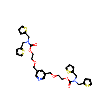 O=C(OCCOCc1cncc(COCCOC(=O)N(Cc2cccs2)Cc2cccs2)c1)N(Cc1cccs1)Cc1cccs1